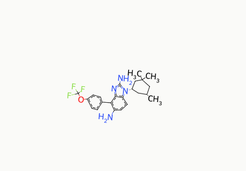 C[C@@H]1C[C@H](n2c(N)nc3c(-c4ccc(OC(F)(F)F)cc4)c(N)ccc32)CC(C)(C)C1